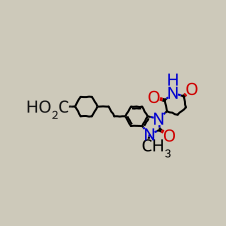 Cn1c(=O)n(C2CCC(=O)NC2=O)c2ccc(CCC3CCC(C(=O)O)CC3)cc21